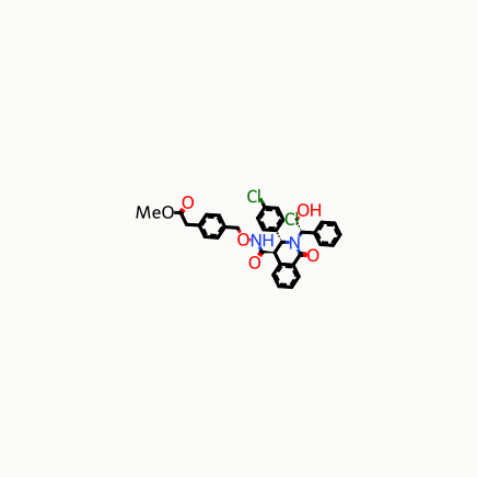 COC(=O)Cc1ccc(CONC(=O)[C@@H]2c3ccccc3C(=O)N([C@H](CO)c3ccccc3)[C@H]2c2ccc(Cl)cc2Cl)cc1